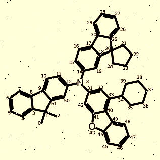 CC1(C)c2ccccc2-c2ccc(N(c3ccc4c(c3)C3(CCCC3)c3ccccc3-4)c3cc(C4CCCCC4)c4c(c3)oc3ccccc34)cc21